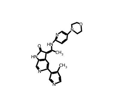 C/C(Nc1ccc(N2CCOCC2)cn1)=C1/C(=O)Nc2cnc(-c3cnccc3C)cc21